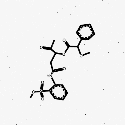 COC(C(=O)OC(CC(=O)Nc1ccccc1S(=O)(=O)OC)C(C)=O)c1ccccc1